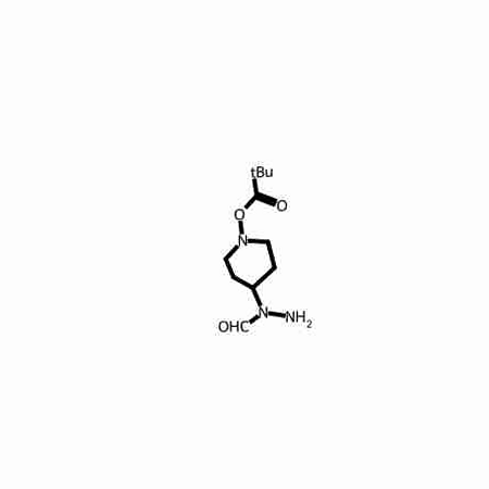 CC(C)(C)C(=O)ON1CCC(N(N)C=O)CC1